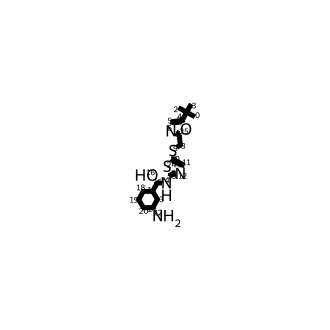 CC(C)(C)c1cnc(CSc2cnc(NC(O)C3CCCC(N)C3)s2)o1